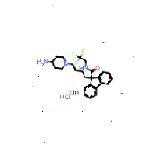 Cl.Cl.NC1CCN(CCCCC2(C(=O)NCC(F)(F)F)c3ccccc3-c3ccccc32)CC1